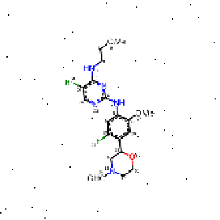 COCCNc1nc(Nc2cc(F)c(C3CN(C=O)CCO3)cc2OC)ncc1Br